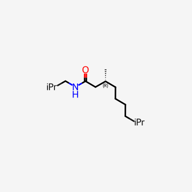 CC(C)CCCC[C@@H](C)CC(=O)NCC(C)C